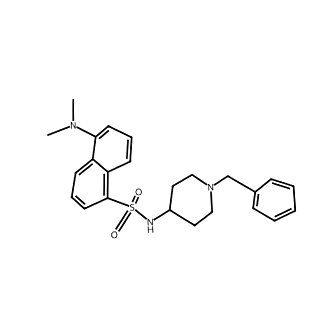 CN(C)c1cccc2c(S(=O)(=O)NC3CCN(Cc4ccccc4)CC3)cccc12